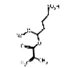 C=C(C)C(=O)OC(CCCS(=O)(=O)O)OC#N